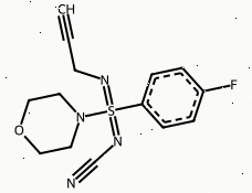 C#CCN=S(=NC#N)(c1ccc(F)cc1)N1CCOCC1